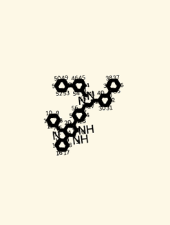 N=C1C(=N)c2c(c(-c3ccccc3)nc3ccccc23)C=C1c1ccc(-c2cc(-c3cccc(-c4ccccc4)c3)nc(-c3cccc(-c4ccccc4)c3)n2)cc1